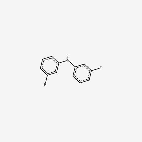 Fc1cccc(Nc2cccc(F)c2)c1